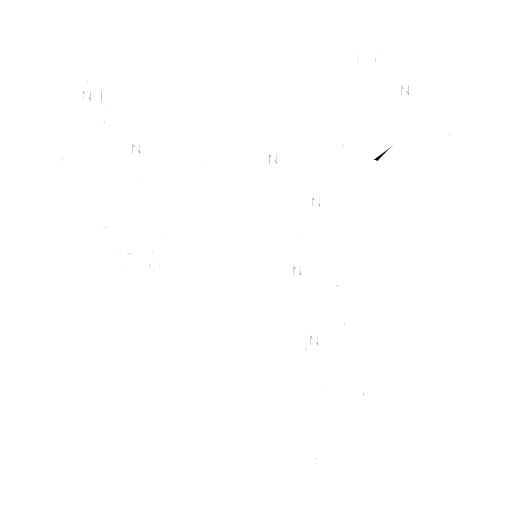 C=CC(=O)N1CCN(c2nc(OC[C@@H]3CCN3C)nc3cc(-c4nc(N)ccc4C(F)(F)F)c(Cl)cc23)CC1